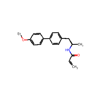 C=CC(=O)NC(C)Cc1ccc(-c2ccc(OCC)cc2)cc1